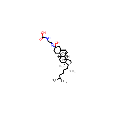 CC(C)CCC[C@@H](C)[C@H]1CC[C@H]2[C@@H]3CC=C4C[C@@](O)(N=CCNC(=O)O)CC[C@]4(C)[C@H]3CC[C@]12C